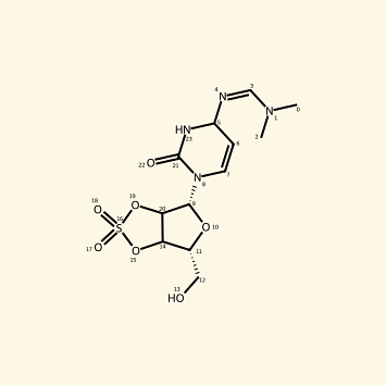 CN(C)/C=N\C1C=CN([C@@H]2O[C@H](CO)C3OS(=O)(=O)OC32)C(=O)N1